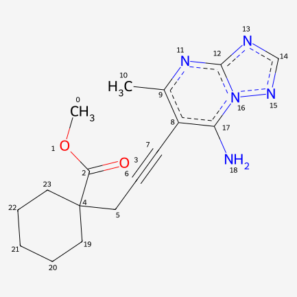 COC(=O)C1(CC#Cc2c(C)nc3ncnn3c2N)CCCCC1